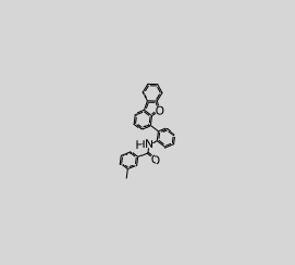 Cc1cccc(C(=O)Nc2ccccc2-c2cccc3c2oc2ccccc23)c1